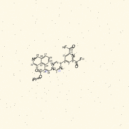 C=NN(/C=N\Cc1cc(C(=O)F)nc(C(=O)F)c1)/C=C(/C(=O)OC(C)C)c1cccc2cnccc12